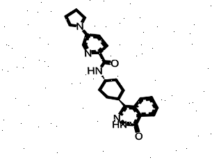 O=C(N[C@H]1CC[C@H](c2n[nH]c(=O)c3ccccc32)CC1)c1ccc(N2CCCC2)cn1